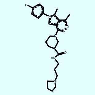 Cc1nnc(N2CCCC(C(=O)NCCCN3CCCC3)C2)c2nn(-c3ccc(Cl)cc3)c(C)c12